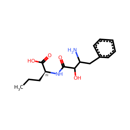 CCC[C@H](NC(=O)C(O)C(N)Cc1ccccc1)C(=O)O